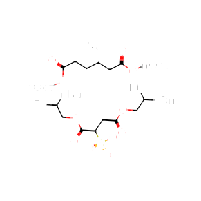 CCCCC(CC)COC(=O)CC(C(=O)OCC(CC)CCCC)S(=O)(=O)[O-].CCCCCCCCOC(=O)CCCCC(=O)OCCCCCCCC.[Na+]